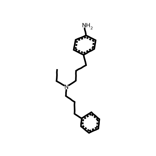 CCN(CCCc1ccccc1)CCCc1ccc(N)cc1